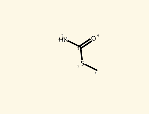 CSC([NH])=O